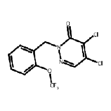 O=c1c(Cl)c(Cl)cnn1Cc1ccccc1OC(F)(F)F